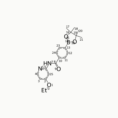 CCOc1ccnc(NC(=O)c2ccc(B3OC(C)(C)C(C)(C)O3)cc2)c1